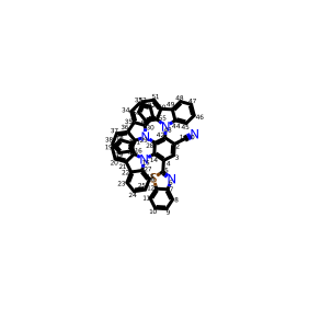 N#Cc1cc(-c2nc3ccccc3s2)c(-n2c3ccccc3c3ccccc32)c(-n2c3ccccc3c3ccccc32)c1-n1c2ccccc2c2ccccc21